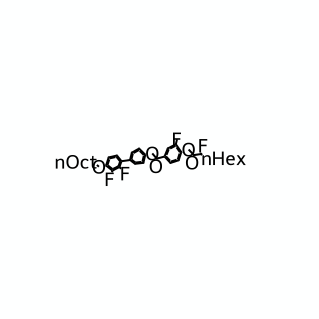 CCCCCCCCOc1ccc(-c2ccc(OC(=O)c3ccc(OC(=O)C(F)CCCCCC)c(F)c3)cc2)c(F)c1F